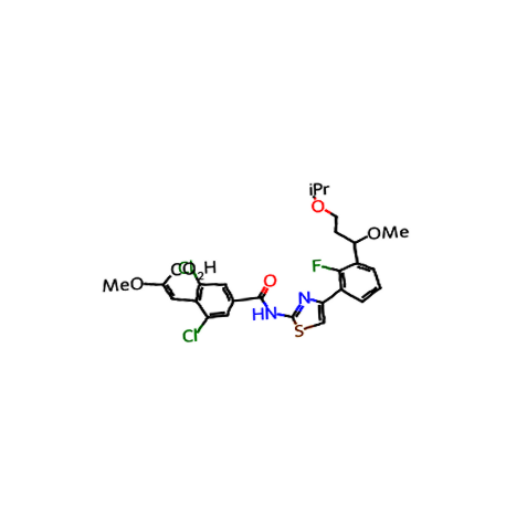 COC(=Cc1c(Cl)cc(C(=O)Nc2nc(-c3cccc(C(CCOC(C)C)OC)c3F)cs2)cc1Cl)C(=O)O